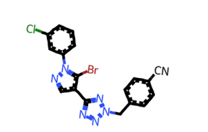 N#Cc1ccc(Cn2nnc(-c3cnn(-c4cccc(Cl)c4)c3Br)n2)cc1